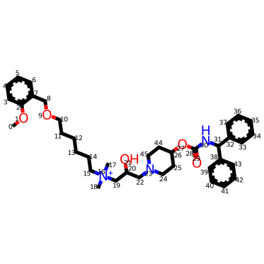 COc1ccccc1COCCCCCC[N+](C)(C)CC(O)CN1CCC(OC(=O)NC(c2ccccc2)c2ccccc2)CC1